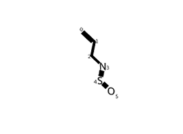 C=CCN=S=O